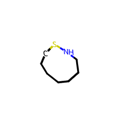 C1CCCNSCCC1